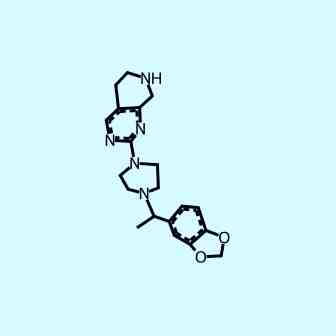 CC(c1ccc2c(c1)OCO2)N1CCN(c2ncc3c(n2)CNCC3)CC1